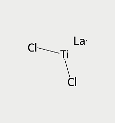 [Cl][Ti][Cl].[La]